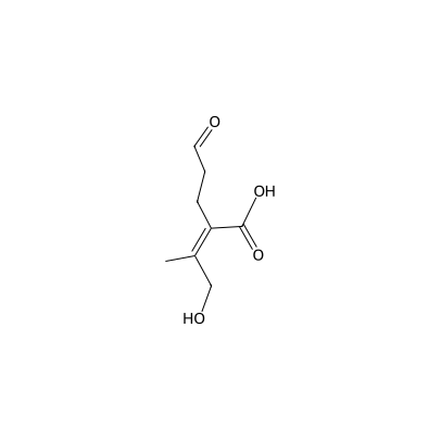 C/C(CO)=C(\CCC=O)C(=O)O